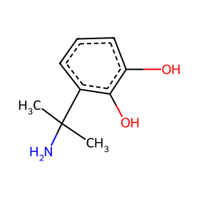 CC(C)(N)c1cccc(O)c1O